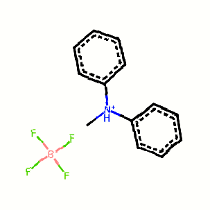 C[NH+](c1ccccc1)c1ccccc1.F[B-](F)(F)F